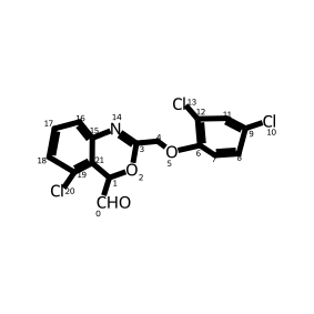 O=CC1OC(COc2ccc(Cl)cc2Cl)=Nc2cccc(Cl)c21